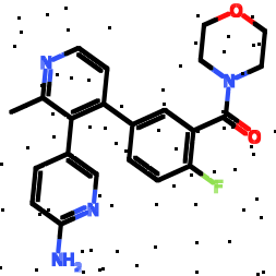 Cc1nccc(-c2ccc(F)c(C(=O)N3CCOCC3)c2)c1-c1ccc(N)nc1